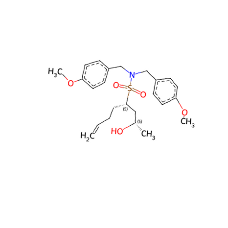 C=CCC[C@@H](C[C@H](C)O)S(=O)(=O)N(Cc1ccc(OC)cc1)Cc1ccc(OC)cc1